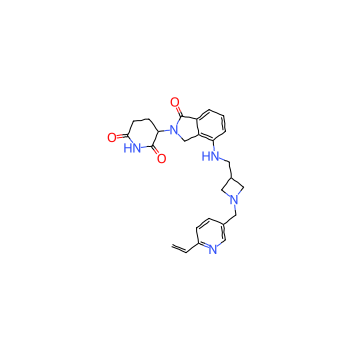 C=Cc1ccc(CN2CC(CNc3cccc4c3CN(C3CCC(=O)NC3=O)C4=O)C2)cn1